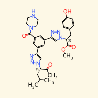 COC(=O)[C@H](Cc1ccc(O)cc1)n1cc(-c2cc(C(=O)N3CCNCC3)cc(-c3cn([C@@H](CC(C)C)C(C)=O)nn3)c2)nn1